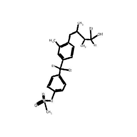 CCC(CC)(c1ccc(OS(C)(=O)=O)cc1)c1ccc(CC(C)C(C)C(O)(CC)CC)c(C)c1